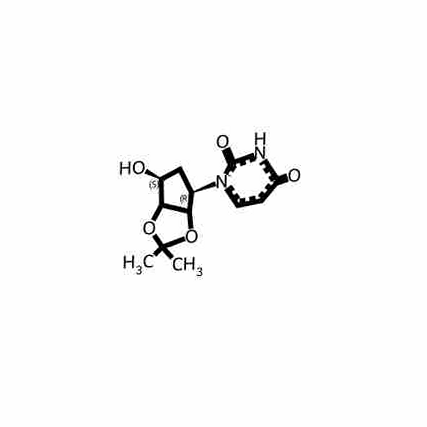 CC1(C)OC2C(O1)[C@@H](O)C[C@H]2n1ccc(=O)[nH]c1=O